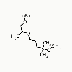 CCCCOCC(C)OCCC[Si](C)(C)O[SiH3]